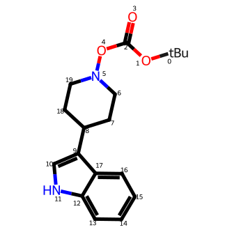 CC(C)(C)OC(=O)ON1CCC(c2c[nH]c3ccccc23)CC1